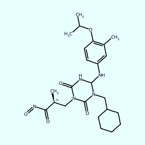 Cc1cc(NC2NC(=O)N(C[C@H](C)C(=O)N=O)C(=O)N2CC2CCCCC2)ccc1OC(C)C